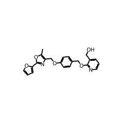 Cc1oc(-c2ccco2)nc1COc1ccc(COc2ncccc2CO)cc1